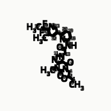 CCC(=O)Cn1c(=O)c2c(ncn2CC(=O)Nc2cccc(-c3cnc(C(C)(F)F)c(C)c3)n2)n(C)c1=O